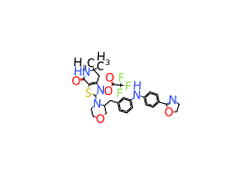 CC1(C)CC2=C(SC(N3CCOCC3Cc3cccc(Nc4ccc(C5=NCCO5)cc4)c3)N2OC(=O)C(F)(F)F)C(=O)N1